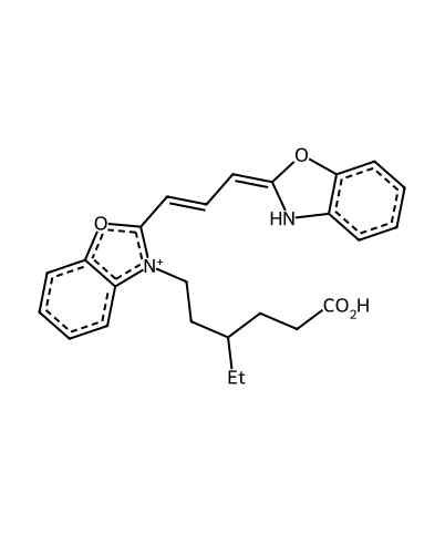 CCC(CCC(=O)O)CC[n+]1c(C=CC=C2Nc3ccccc3O2)oc2ccccc21